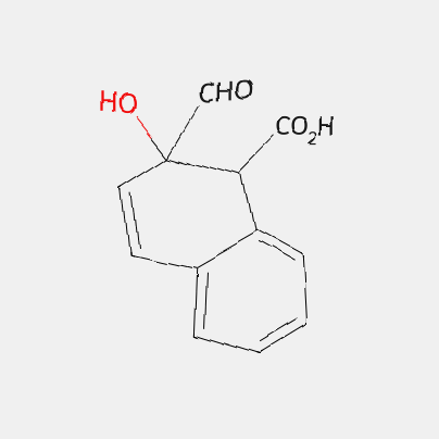 O=CC1(O)C=Cc2ccccc2C1C(=O)O